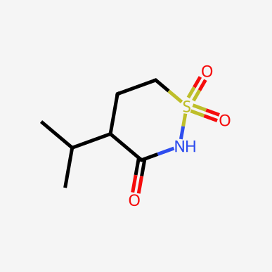 CC(C)C1CCS(=O)(=O)NC1=O